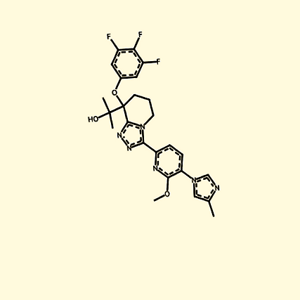 COc1nc(-c2nnc3n2CCCC3(Oc2cc(F)c(F)c(F)c2)C(C)(C)O)ccc1-n1cnc(C)c1